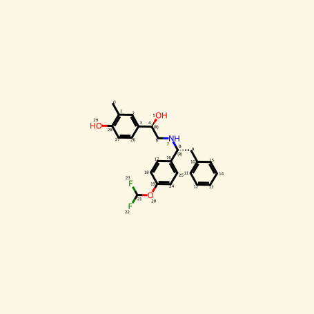 Cc1cc([C@@H](O)CN[C@H](Cc2ccccc2)c2ccc(OC(F)F)cc2)ccc1O